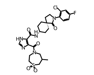 CC1CN(C(=O)c2nc[nH]c2C(=O)N[C@H]2CC[C@@]3(CCN(c4ccc(F)cc4Cl)C3=O)CC2)CCS(=O)(=O)C1